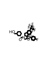 O=C([C@H]1CCCC(CO)C1)N1CCC2(S(=O)(=O)c3ccc(F)cc3)c3ccc(C(F)(C(F)(F)F)C(F)(F)F)cc3CC12